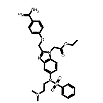 CCOC(=O)Cn1c(COc2ccc(C(=N)N)cc2)nc2cc(N(CCN(C)C)S(=O)(=O)c3ccccc3)ccc21